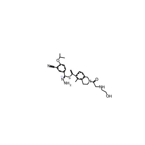 C=C(S/C(=N\N)c1ccc(OC(C)C)c(C#N)c1)c1ccc2c(c1C)CCN(C(=O)CNCCO)C2